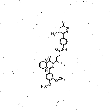 COc1ccc(C2=NN(C(C)CCC(=O)Nc3ccc(C4=NNC(=O)CC4C)cc3)C(=O)[C@@H]3CC=CC[C@H]23)cc1OC